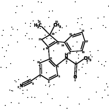 CC(=O)Nc1ccc(C#N)cc1C1=C(c2ccccc2)C(C)(C)C1